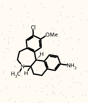 COc1cc2c(cc1Cl)CCN(C)[C@H]1CCc3cc(N)ccc3[C@H]21